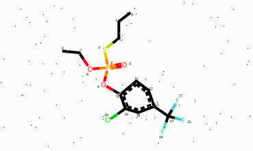 CCCSP(=O)(OCC)Oc1ccc(C(F)(F)F)cc1Cl